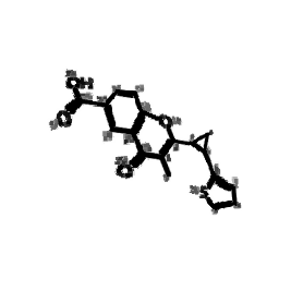 Cc1c(C2CC2c2cccs2)oc2ccc(C(=O)O)cc2c1=O